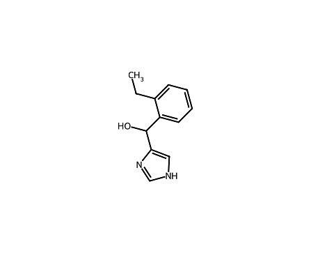 CCc1ccccc1C(O)c1c[nH]cn1